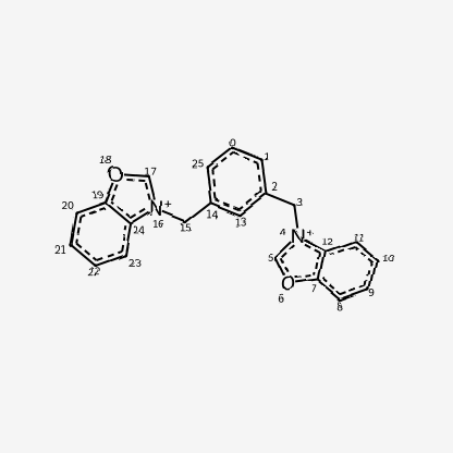 c1cc(C[n+]2coc3ccccc32)cc(C[n+]2coc3ccccc32)c1